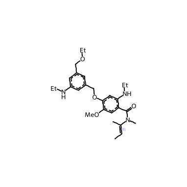 C/C=C(\C)N(C)C(=O)c1cc(OC)c(OCc2cc(COCC)cc(NCC)c2)cc1NCC